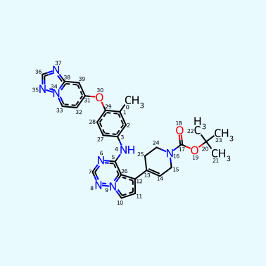 Cc1cc(Nc2ncnn3ccc(C4=CCN(C(=O)OC(C)(C)C)CC4)c23)ccc1Oc1ccn2ncnc2c1